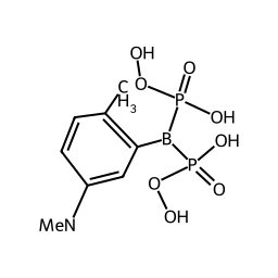 CNc1ccc(C)c(B(P(=O)(O)OO)P(=O)(O)OO)c1